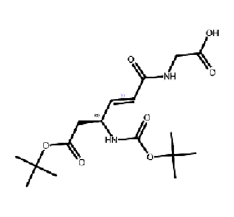 CC(C)(C)OC(=O)C[C@@H](/C=C/C(=O)NCC(=O)O)NC(=O)OC(C)(C)C